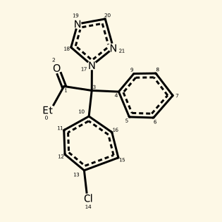 CCC(=O)C(c1ccccc1)(c1ccc(Cl)cc1)n1cncn1